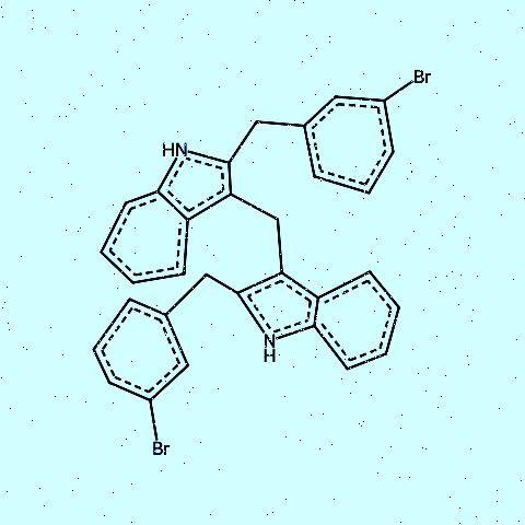 Brc1cccc(Cc2[nH]c3ccccc3c2Cc2c(Cc3cccc(Br)c3)[nH]c3ccccc23)c1